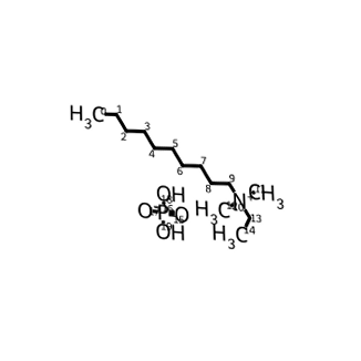 CCCCCCCCCC[N+](C)(C)CC.O=P([O-])(O)O